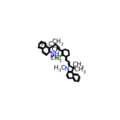 C=C(/C=C/C1=C(Cl)C(=C/C=C2\N(C)c3ccc4ccccc4c3C2(C)C)/CCC1)C(C)(C)c1c(NC)ccc2ccccc12